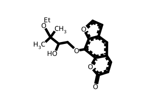 CCOC(C)(C)C(O)COc1c2occc2cc2ccc(=O)oc12